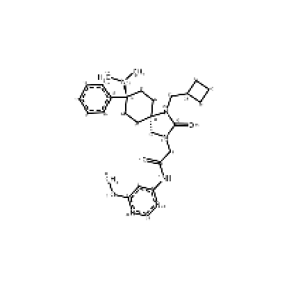 COc1cc(NC(=O)CN2C[C@]3(CC[C@](c4ccccc4)(N(C)C)CC3)N(CC3CCC3)C2=O)ncn1